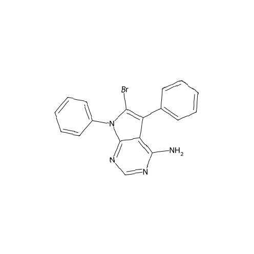 Nc1ncnc2c1c(-c1ccccc1)c(Br)n2-c1ccccc1